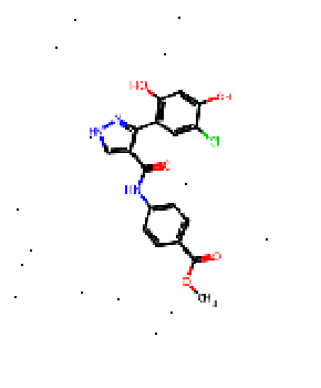 COC(=O)c1ccc(NC(=O)c2c[nH]nc2-c2cc(Cl)c(O)cc2O)cc1